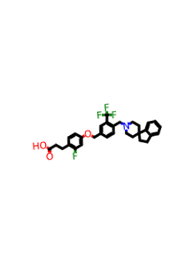 O=C(O)CCc1ccc(OCc2ccc(CN3CCC4(CCc5ccccc54)CC3)c(C(F)(F)F)c2)cc1F